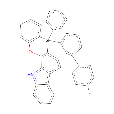 Ic1ccc(-c2cccc([Si]3(c4ccccc4)c4ccccc4Oc4c3ccc3c4[nH]c4ccccc43)c2)cc1